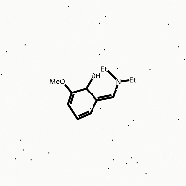 CCN(/C=C1/C=CC=C(OC)C1O)CC